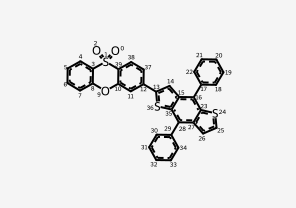 O=S1(=O)c2ccccc2Oc2cc(-c3cc4c(-c5ccccc5)c5sccc5c(-c5ccccc5)c4s3)ccc21